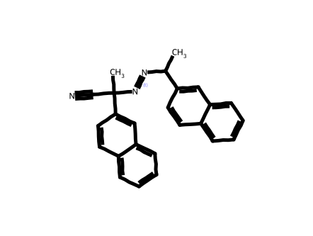 CC(/N=N/C(C)(C#N)c1ccc2ccccc2c1)c1ccc2ccccc2c1